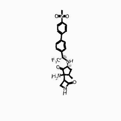 CC1C[C@H](N[C@@H](c2ccc(-c3ccc(S(C)(=O)=O)cc3)cc2)C(F)(F)F)C(=O)C1(N)C1CNC1=O